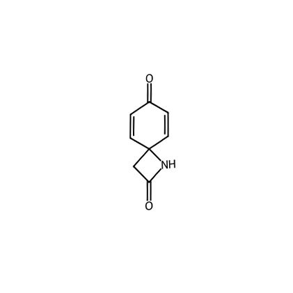 O=C1C=CC2(C=C1)CC(=O)N2